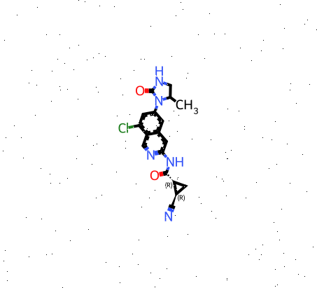 CC1CNC(=O)N1c1cc(Cl)c2cnc(NC(=O)[C@@H]3C[C@H]3C#N)cc2c1